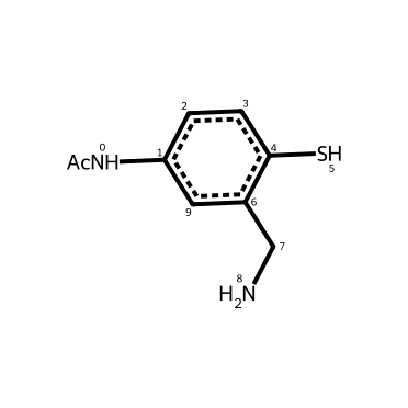 CC(=O)Nc1ccc(S)c(CN)c1